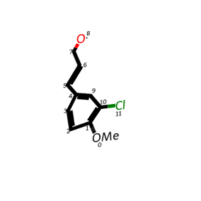 COc1ccc(C=CC[O])cc1Cl